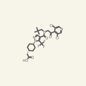 CC(C)(C)CN(CC(=O)c1c(Cl)cncc1Cl)C(=O)c1cnn([C@H]2CC[C@H](CC(=O)O)CC2)c1C(F)(F)F